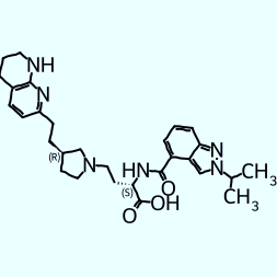 CC(C)n1cc2c(C(=O)N[C@@H](CCN3CC[C@@H](CCc4ccc5c(n4)NCCC5)C3)C(=O)O)cccc2n1